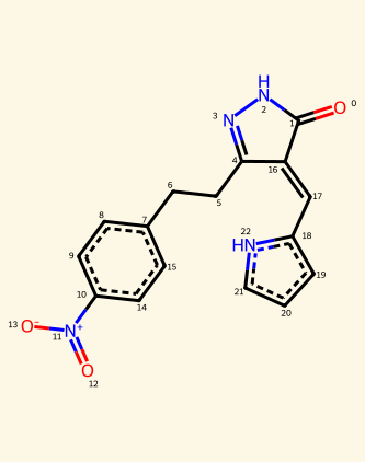 O=C1NN=C(CCc2ccc([N+](=O)[O-])cc2)C1=Cc1ccc[nH]1